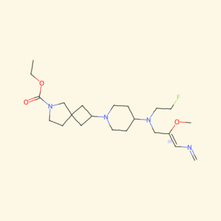 C=N/C=C(/CN(CCF)C1CCN(C2CC3(CCN(C(=O)OCC)C3)C2)CC1)OC